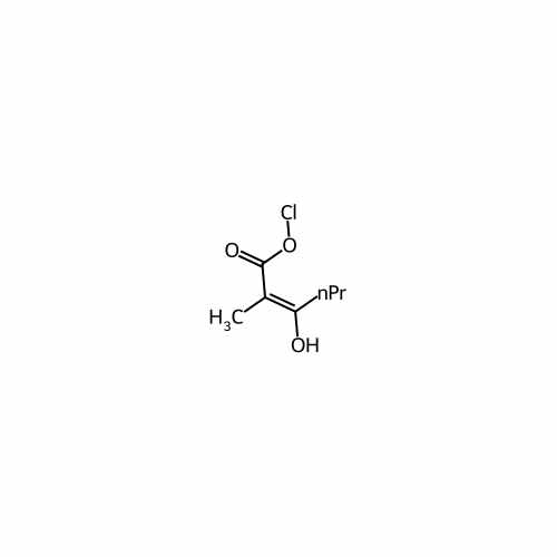 CCCC(O)=C(C)C(=O)OCl